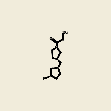 CC(C)(C)OC(=O)N1CC[C@H](CN2CC[C@@H](F)C2)C1